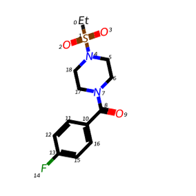 CCS(=O)(=O)N1CCN(C(=O)c2ccc(F)cc2)CC1